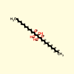 CCCCCCCCCCCC(=O)C(O)C(O)C(O)C(=O)CCCCCCCCCCC